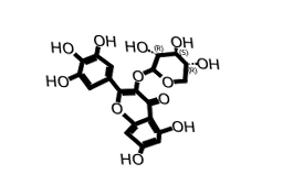 O=c1c(OC2OC[C@@H](O)[C@H](O)[C@H]2O)c(-c2cc(O)c(O)c(O)c2)oc2cc(O)cc(O)c12